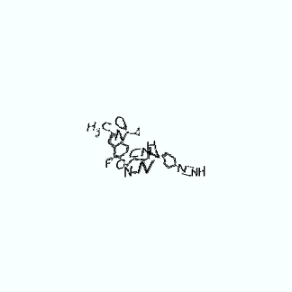 Cc1cc2c(F)c(Oc3ncnc(Nc4ccc(N5CCNCC5)cc4)c3C#N)ccc2n1C(=O)C1CC1